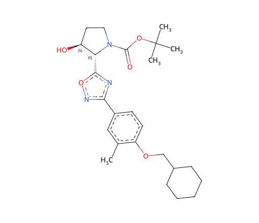 Cc1cc(-c2noc([C@@H]3[C@@H](O)CCN3C(=O)OC(C)(C)C)n2)ccc1OCC1CCCCC1